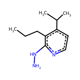 CCCc1c(C(C)C)ccnc1NN